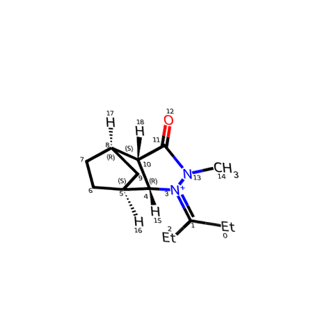 CCC(CC)=[N+]1[C@@H]2[C@H]3CC[C@H](C3)[C@@H]2C(=O)N1C